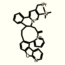 C=C1CC2C(CCc3ccc4oc5ncccc5c4c3-c3cccc[n+]31)c1ccccc1-c1cc(CC(C)C)c([Si](C)(C)C)c[n+]12